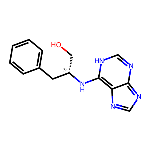 OC[C@@H](Cc1ccccc1)Nc1[nH]cnc2ncnc1-2